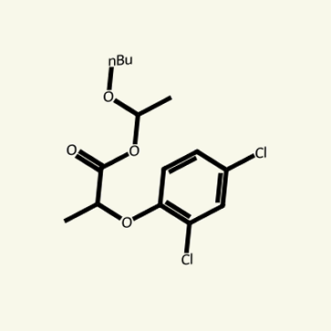 CCCCOC(C)OC(=O)C(C)Oc1ccc(Cl)cc1Cl